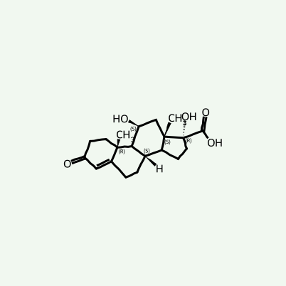 C[C@]12CCC(=O)C=C1CC[C@@H]1C2[C@@H](O)C[C@@]2(C)C1CC[C@]2(O)C(=O)O